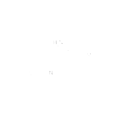 NC1(c2ccc(Cl)nc2)CCOCC1